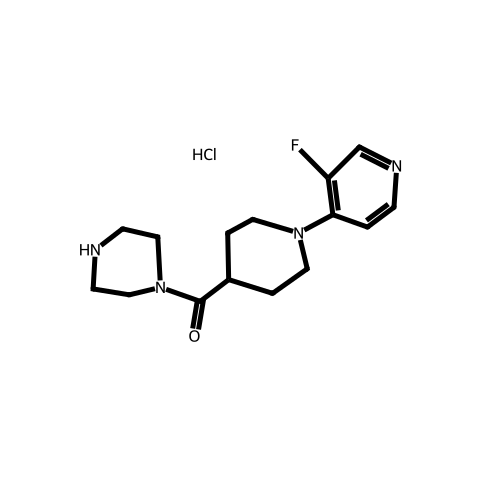 Cl.O=C(C1CCN(c2ccncc2F)CC1)N1CCNCC1